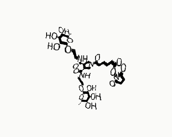 C[C@@H]1O[C@@H](OCCNC(=O)[C@H]2CN(C(=O)CCCCC(=O)ON3C(=O)CCC3=O)C[C@H]2C(=O)NCCO[C@@H]2O[C@@H](C)[C@@H](O)[C@@H](O)[C@@H]2O)[C@@H](O)[C@H](O)[C@@H]1O